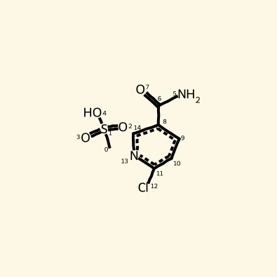 CS(=O)(=O)O.NC(=O)c1ccc(Cl)nc1